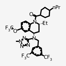 CCCC1CCC(C(=O)N2c3ccc(OC(F)(F)F)cc3[C@@H](N(Cc3cc(C(F)(F)F)cc(C(F)(F)F)c3)c3nnn(C)n3)C[C@H]2CC)CC1